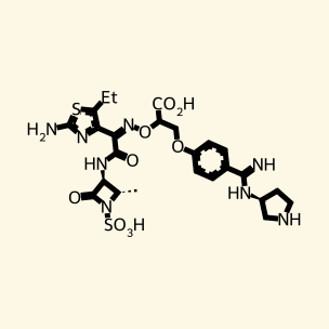 CCc1sc(N)nc1/C(=N/OC(COc1ccc(C(=N)N[C@H]2CCNC2)cc1)C(=O)O)C(=O)N[C@@H]1C(=O)N(S(=O)(=O)O)[C@H]1C